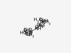 COc1cc(/C=C2\S/C(=N\c3ccccc3)N(CCCCCCNC(=O)CCCN3C(=O)/C(=C/c4cc(OC)c(O)c(OC)c4)S/C3=N\c3ccccc3)C2=O)cc(OC)c1O